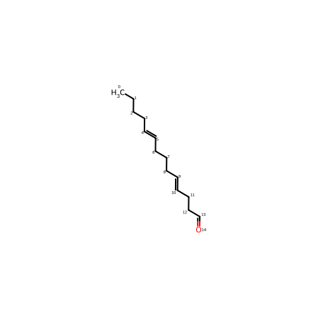 CCCCC=CCCCC=CCCC=O